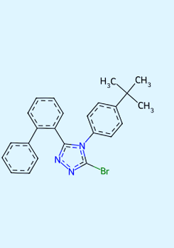 CC(C)(C)c1ccc(-n2c(Br)nnc2-c2ccccc2-c2ccccc2)cc1